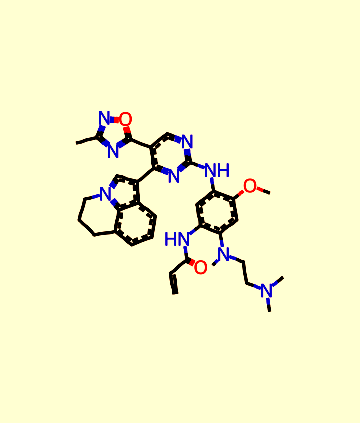 C=CC(=O)Nc1cc(Nc2ncc(-c3nc(C)no3)c(-c3cn4c5c(cccc35)CCC4)n2)c(OC)cc1N(C)CCN(C)C